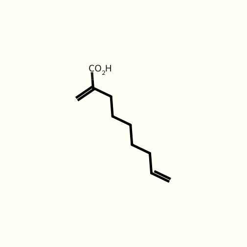 C=CCCCCCC(=C)C(=O)O